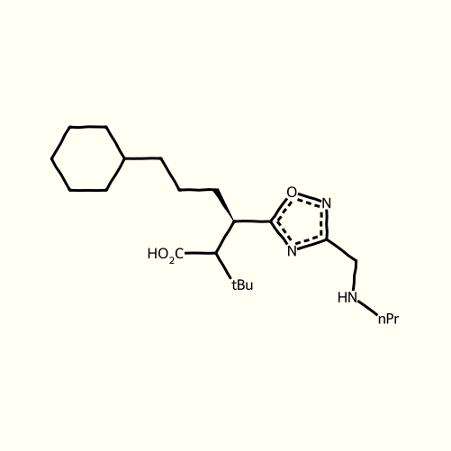 CCCNCc1noc([C@H](CCCC2CCCCC2)C(C(=O)O)C(C)(C)C)n1